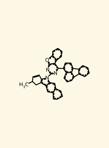 CC1C=Cc2c(c3cc4ccccc4cc3n2-c2nc(-c3ccc4c5c(cccc35)-c3ccccc3-4)c3c(n2)oc2ccccc23)C1